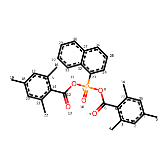 Cc1cc(C)c(C(=O)OP(=O)(OC(=O)c2c(C)cc(C)cc2C)c2cccc3ccccc23)c(C)c1